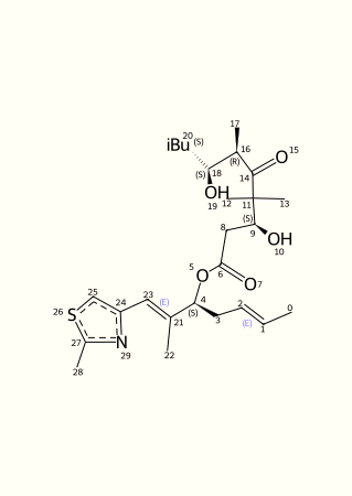 C/C=C/C[C@H](OC(=O)C[C@H](O)C(C)(C)C(=O)[C@H](C)[C@@H](O)[C@@H](C)CC)/C(C)=C/c1csc(C)n1